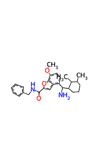 COc1ccc(C(N)C2CCCC(C)C2C)c2cc(C(=O)NCc3ccccc3)oc12